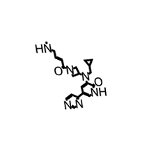 CNCC=CC(=O)N1CC(N(CC2CC2)c2cc(-c3ccncn3)c[nH]c2=O)C1